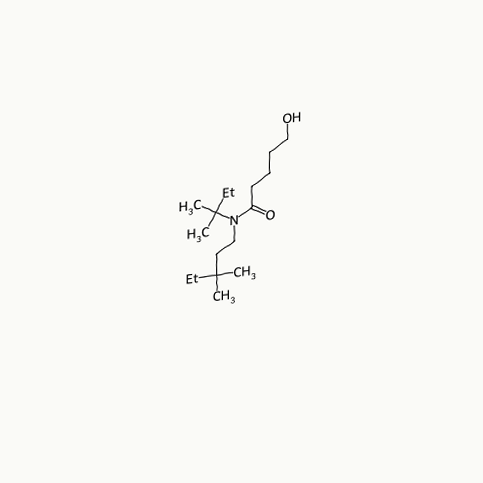 CCC(C)(C)CCN(C(=O)CCCCO)C(C)(C)CC